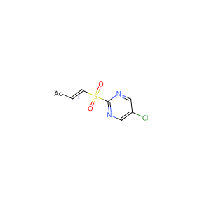 CC(=O)/C=C/S(=O)(=O)c1ncc(Cl)cn1